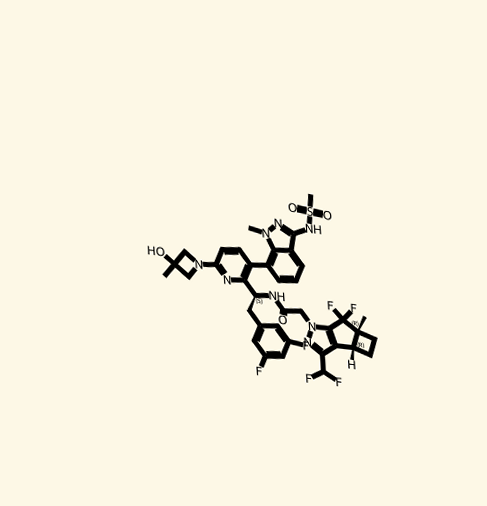 Cn1nc(NS(C)(=O)=O)c2cccc(-c3ccc(N4CC(C)(O)C4)nc3[C@H](Cc3cc(F)cc(F)c3)NC(=O)Cn3nc(C(F)F)c4c3C(F)(F)[C@]3(C)CC[C@H]43)c21